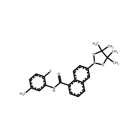 Cc1ccc(F)c(NC(=O)c2cccc3cc(B4OC(C)(C)C(C)(C)O4)ccc23)c1